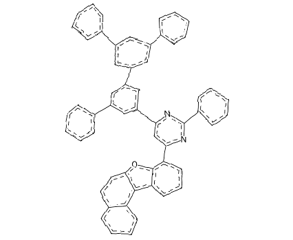 c1ccc(-c2cc(-c3ccccc3)cc(-c3cc(-c4ccccc4)cc(-c4cc(-c5cccc6c5oc5ccc7ccccc7c56)nc(-c5ccccc5)n4)c3)c2)cc1